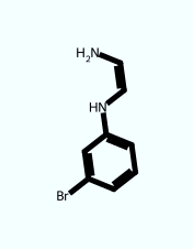 N/C=C\Nc1cccc(Br)c1